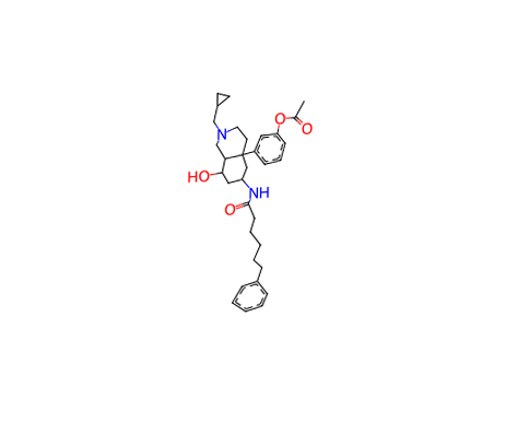 CC(=O)Oc1cccc(C23CCN(CC4CC4)CC2C(O)CC(NC(=O)CCCCCc2ccccc2)C3)c1